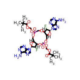 CC(C)(C)C(=O)OCOP1(=O)CO[C@H]2[C@@H](F)[C@H](n3cnc4c(N)ncnc43)O[C@@H]2COP(=O)(OCOC(=O)C(C)(C)C)O[C@H]2[C@@H](F)[C@H](n3cnc4c(N)ncnc43)O[C@@H]2CO1